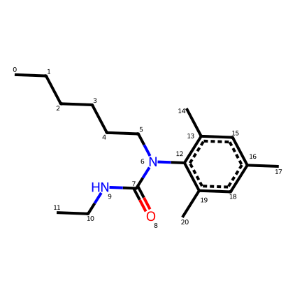 CCCCCCN(C(=O)NCC)c1c(C)cc(C)cc1C